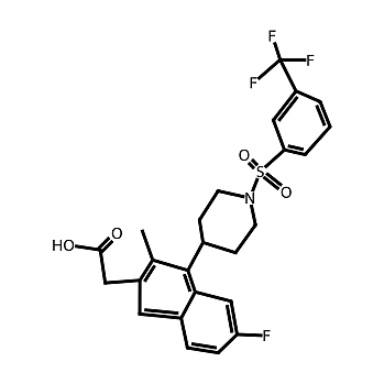 Cc1c(CC(=O)O)cc2ccc(F)cc2c1C1CCN(S(=O)(=O)c2cccc(C(F)(F)F)c2)CC1